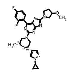 COC1CCN(c2nc3nc(N4C[C@@H](C)O[C@@H](c5cnn(C6CC6)c5)C4)nc(-c4ccc(F)cc4F)c3s2)C1